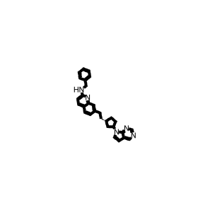 c1ccc(CNc2ccc3ccc(CC[C@@H]4CCC(n5ccc6cncnc65)C4)cc3n2)cc1